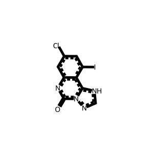 O=c1nc2cc(Cl)cc(I)c2c2[nH]cnn12